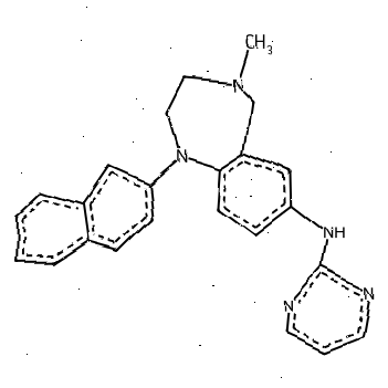 CN1CCN(c2ccc3ccccc3c2)c2ccc(Nc3ncccn3)cc2C1